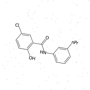 CCCc1cccc(NC(=O)c2cc(Cl)ccc2O)c1